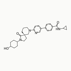 O=C(NC1CC1)c1ccc(-c2ccc(N3CCC[C@]4(CCN(C5CCC(O)CC5)C4=O)C3)nc2)cc1